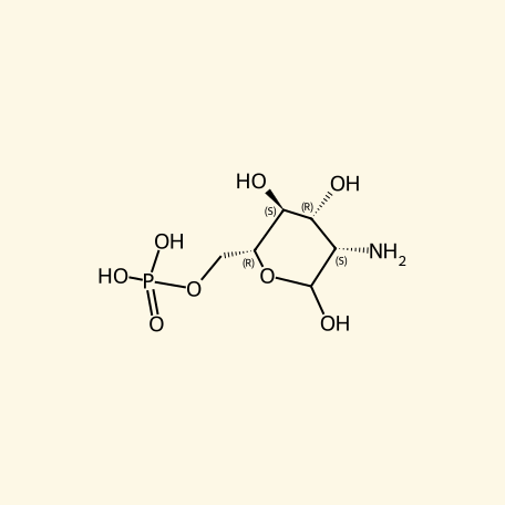 N[C@@H]1C(O)O[C@H](COP(=O)(O)O)[C@@H](O)[C@@H]1O